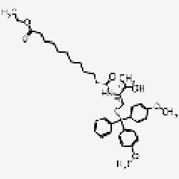 CCOC(=O)CCCCCCCCCCC(=O)N[C@H](COC(c1ccccc1)(c1ccc(OC)cc1)c1ccc(OC)cc1)[C@@H](C)O